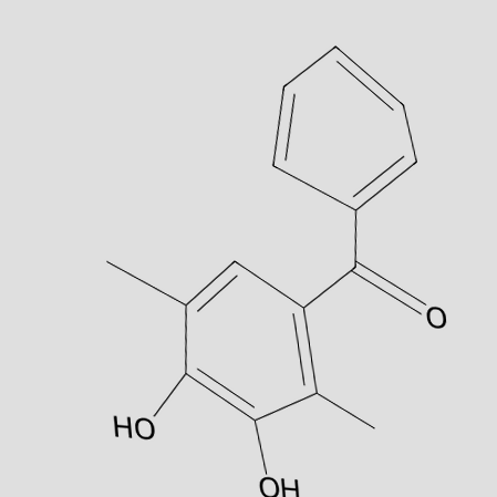 Cc1cc(C(=O)c2ccccc2)c(C)c(O)c1O